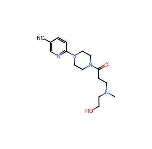 CN(CCO)CCC(=O)N1CCN(c2ccc(C#N)cn2)CC1